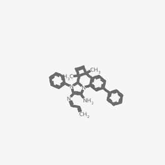 C=C/C=N\C1=C(N)N2c3cc(-c4ccccc4)ccc3C3(C)C=CC3(C)C2N1c1ccccc1